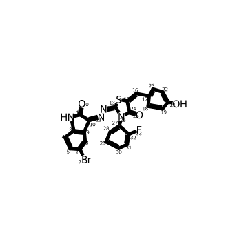 O=C1Nc2ccc(Br)cc2C1=NN=C1SC(=Cc2ccc(O)cc2)C(=O)N1c1ccccc1F